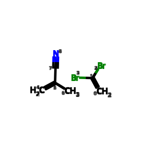 C=C(Br)Br.C=C(C)C#N